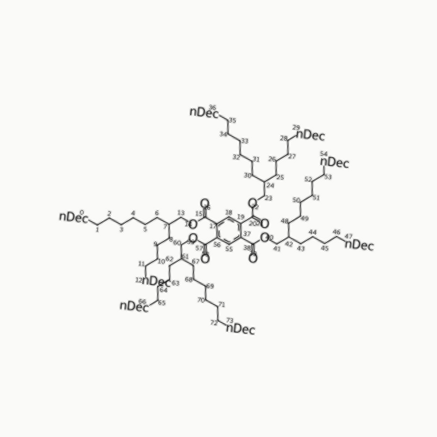 CCCCCCCCCCCCCCCCC(CCCCCCCCCCCCCC)COC(=O)c1cc(C(=O)OCC(CCCCCCCCCCCCCC)CCCCCCCCCCCCCCCC)c(C(=O)OCC(CCCCCCCCCCCCCC)CCCCCCCCCCCCCCCC)cc1C(=O)OCC(CCCCCCCCCCCCCC)CCCCCCCCCCCCCCCC